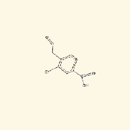 O=CCc1cnc(C(=O)O)cc1Cl